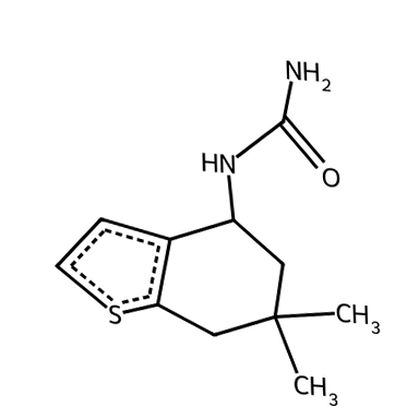 CC1(C)Cc2sccc2C(NC(N)=O)C1